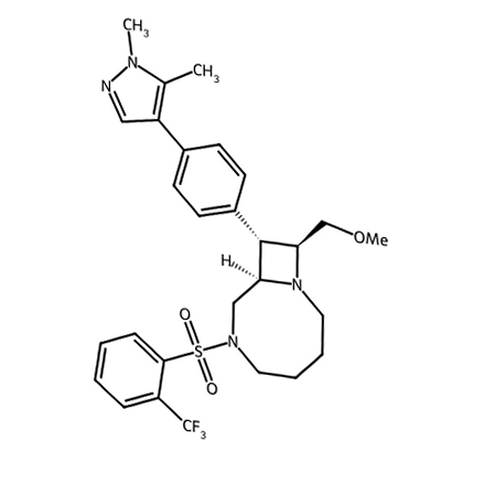 COC[C@@H]1[C@@H](c2ccc(-c3cnn(C)c3C)cc2)[C@@H]2CN(S(=O)(=O)c3ccccc3C(F)(F)F)CCCCN12